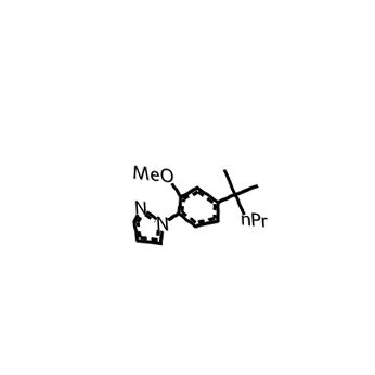 CCCC(C)(C)c1ccc(-n2cccn2)c(OC)c1